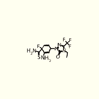 CCn1c(C(F)(F)F)nn(C2C=CC(F)(C(N)=S)C(N)=C2)c1=O